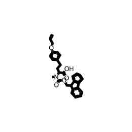 C=CCOc1ccc(CCC(C(=O)O)N(C)C(=O)OCC2c3ccccc3-c3ccccc32)cc1